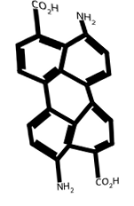 Nc1ccc2c3ccc(C(=O)O)c4c(N)ccc(c5ccc(C(=O)O)c1c25)c43